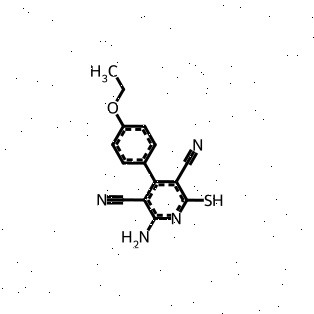 CCOc1ccc(-c2c(C#N)c(N)nc(S)c2C#N)cc1